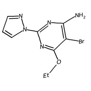 CCOc1nc(-n2cccn2)nc(N)c1Br